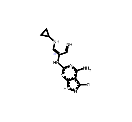 N=C/C(=C\NC1CC1)Nc1nc(N)c2c(Cl)n[nH]c2n1